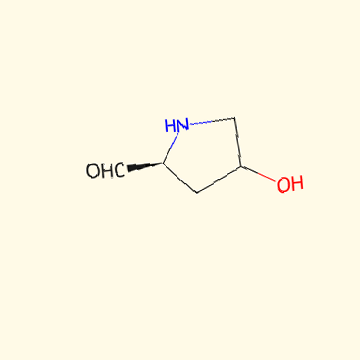 O=C[C@@H]1CC(O)CN1